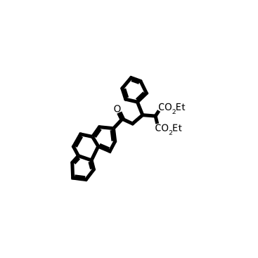 CCOC(=O)C(C(=O)OCC)C(CC(=O)c1ccc2c(ccc3ccccc32)c1)c1ccccc1